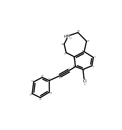 Clc1ccc2c(c1C#Cc1ccccc1)CCNCC2